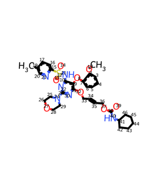 COc1ccccc1Oc1c(NS(=O)(=O)c2ccc(C)cn2)nc(N2CCOCC2)nc1OCC#CCOC(=O)NC1CCCCC1